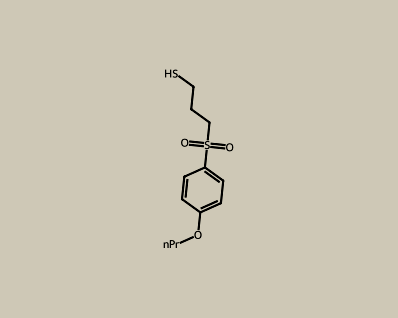 CCCOc1ccc(S(=O)(=O)CCCS)cc1